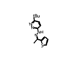 CC(=NNc1ccc(C(C)(C)C)nn1)c1cccs1